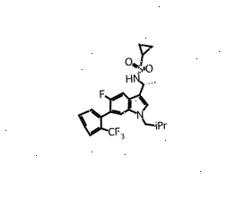 CC(C)Cn1cc([C@@H](C)NS(=O)(=O)C2CC2)c2cc(F)c(-c3ccccc3C(F)(F)F)cc21